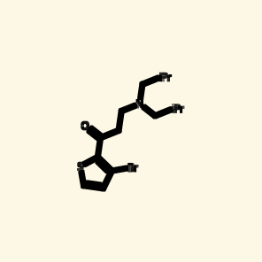 CC(C)CN(CCC(=O)c1sccc1Br)CC(C)C